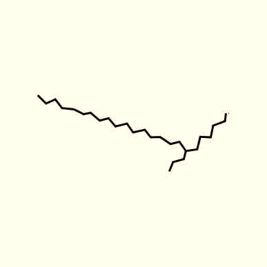 [CH2]CCCCCC(CCC)CCCCCCCCCCCCCCCCC